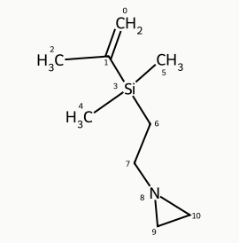 C=C(C)[Si](C)(C)CCN1CC1